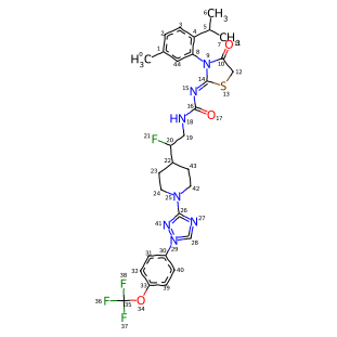 Cc1ccc(C(C)C)c(N2C(=O)CS/C2=N\C(=O)NCC(F)C2CCN(c3ncn(-c4ccc(OC(F)(F)F)cc4)n3)CC2)c1